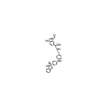 O=CNc1cc([C@@H](O)CNCCc2ccc(Nc3ccc(S(=O)(=O)Nc4ccccn4)cc3)cc2)ccc1O